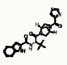 CC(C)(C)[C@H](NC(=O)c1cc2ccccc2[nH]1)C(=O)N1C[C@@H]2C[C@H]1CN2C(=O)c1cscn1